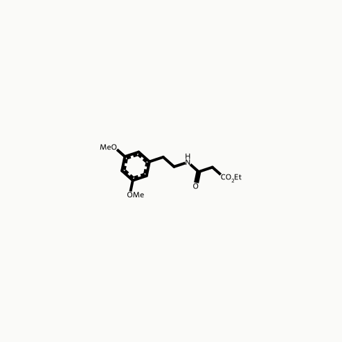 CCOC(=O)CC(=O)NCCc1cc(OC)cc(OC)c1